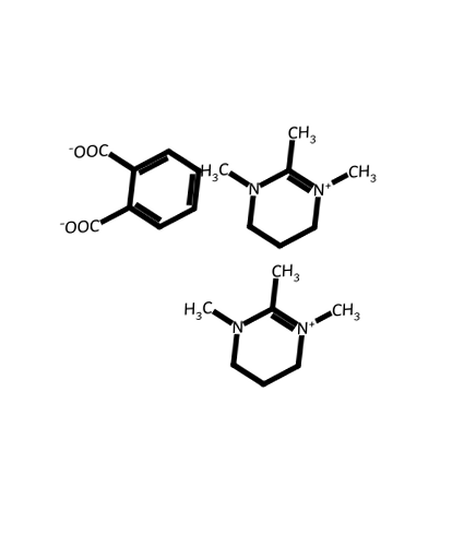 CC1=[N+](C)CCCN1C.CC1=[N+](C)CCCN1C.O=C([O-])c1ccccc1C(=O)[O-]